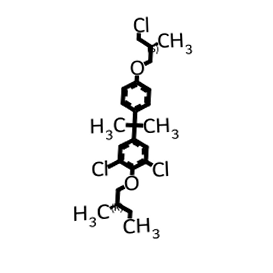 CC[C@@H](C)COc1c(Cl)cc(C(C)(C)c2ccc(OC[C@H](C)CCl)cc2)cc1Cl